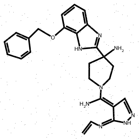 C=C/N=C1/NN=C/C1=C(/N)N1CCC(N)(c2nc3cccc(OCc4ccccc4)c3[nH]2)CC1